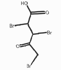 O=C(O)C(Br)C(Br)C(=O)CBr